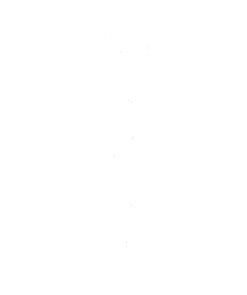 CC(C)(C)OC(=O)NCC(=O)NCCNC(=O)C(F)(F)F